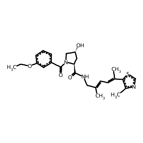 CCOc1cccc(C(=O)N2C[C@H](O)C[C@H]2C(=O)NC/C(C)=C/C=C(\C)c2scnc2C)c1